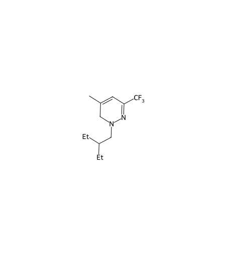 CCC(CC)CN1CC(C)=CC(C(F)(F)F)=N1